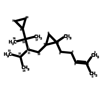 CC(C)=CCCC1(C)CC1CN(C(C)C)C(C)(C)C1CC1